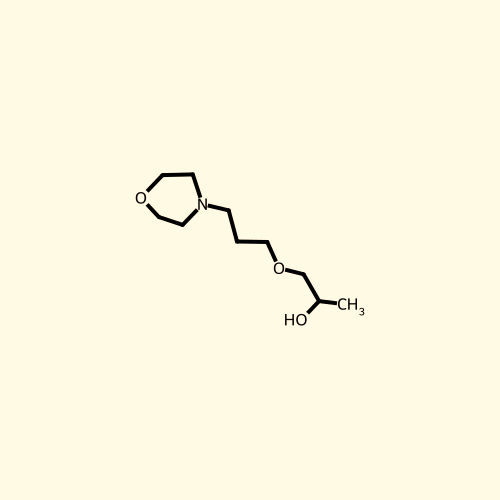 CC(O)COCCCN1CCOCC1